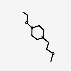 CCON1CCN(CCOC)CC1